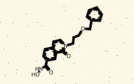 O=C(NO)c1ccc2ccn(CCCOCc3ccccc3)c(=O)c2c1